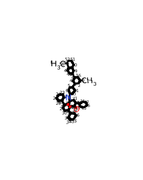 Cc1cc(-c2ccc(N(c3ccc4oc5ccccc5c4c3)c3ccccc3-c3ccc(-c4ccccc4)cc3)cc2)cc(-c2ccc3c(c2)C=CC[C@H]3C)c1